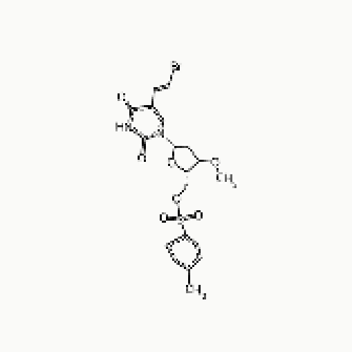 COC1C[C@@H](n2cc(/C=C/Br)c(=O)[nH]c2=O)O[C@H]1COS(=O)(=O)c1ccc(C)cc1